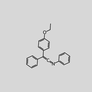 CCOc1ccc(C(=C=Nc2ccccc2)c2ccccc2)cc1